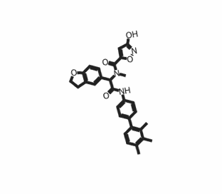 Cc1ccc(-c2ccc(NC(=O)C(c3ccc4c(c3)CCO4)N(C)C(=O)c3cc(O)no3)cc2)c(C)c1C